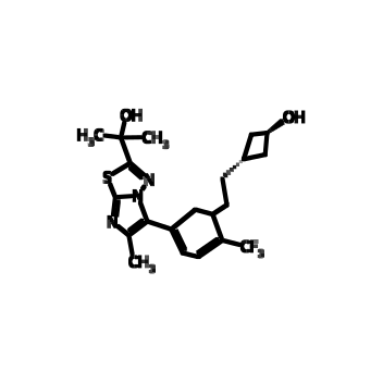 Cc1nc2sc(C(C)(C)O)nn2c1C1=CC=C(C(F)(F)F)C(CC[C@H]2C[C@H](O)C2)C1